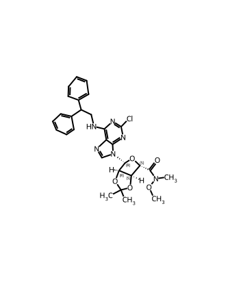 CON(C)C(=O)[C@H]1O[C@@H](n2cnc3c(NCC(c4ccccc4)c4ccccc4)nc(Cl)nc32)[C@@H]2OC(C)(C)O[C@@H]21